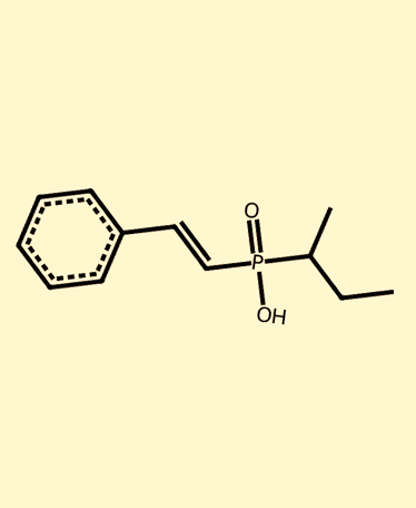 CCC(C)P(=O)(O)C=Cc1ccccc1